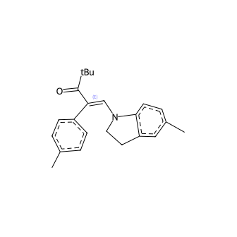 Cc1ccc(/C(=C\N2CCc3cc(C)ccc32)C(=O)C(C)(C)C)cc1